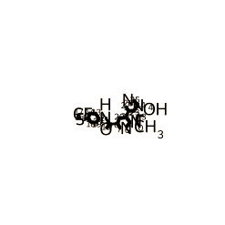 CN(CCO)c1ncc(C(=O)Nc2ccc(SC(F)(F)F)cc2)cc1-c1cncnc1